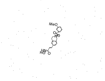 COc1cccc(S(=O)(=O)N2CCc3cc(C=CC(=O)NO)ccc3C2)c1